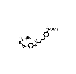 COC(=O)c1ccc(CCCC(=O)Nc2ccc(C3CC3NC(=O)OC(C)(C)C)cc2)cc1